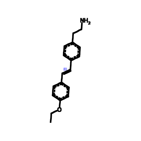 CCOc1ccc(/C=C/c2ccc(CCN)cc2)cc1